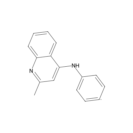 Cc1cc(Nc2cc[c]cc2)c2ccccc2n1